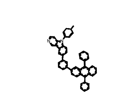 CC1C=CC(n2c3ccncc3c3cc(-c4cccc(-c5ccc6c(-c7ccccc7)c7ccccc7c(-c7ccccc7)c6c5)c4)ccc32)=CC1